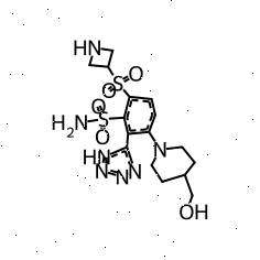 NS(=O)(=O)c1c(S(=O)(=O)C2CNC2)ccc(N2CCC(CO)CC2)c1-c1nnn[nH]1